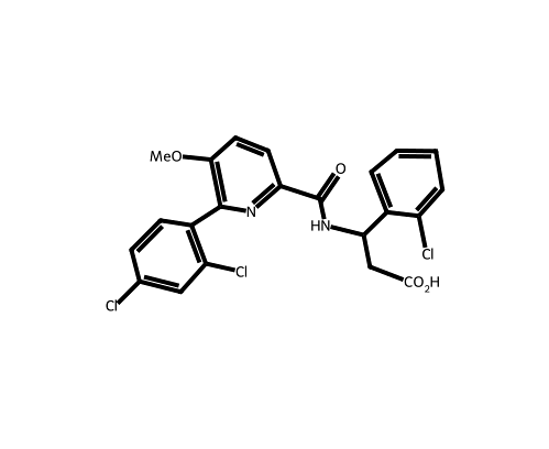 COc1ccc(C(=O)NC(CC(=O)O)c2ccccc2Cl)nc1-c1ccc(Cl)cc1Cl